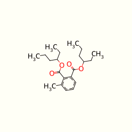 CCCC(CC)OC(=O)c1cccc(C)c1C(=O)OC(CC)CCC